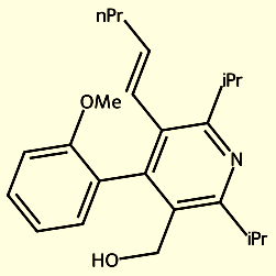 CCCC=Cc1c(C(C)C)nc(C(C)C)c(CO)c1-c1ccccc1OC